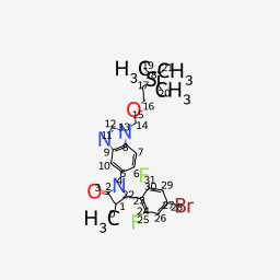 CC1C(=O)N(c2ccc3c(c2)ncn3COCC[Si](C)(C)C)C1c1c(F)cc(Br)cc1F